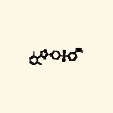 Cc1cccc(C)c1-c1csc(N2CCC(S(=O)(=O)c3cccc([N+](=O)[O-])c3)CC2)n1